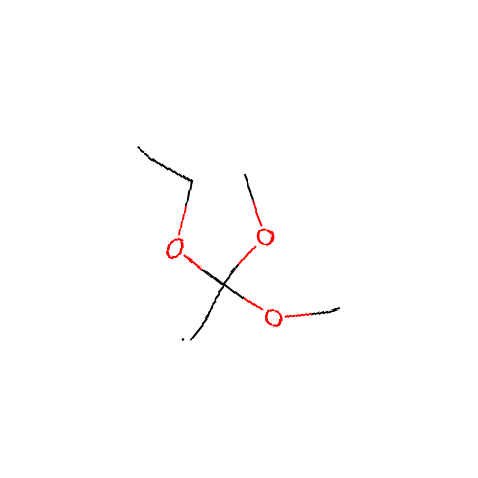 [CH2]C(OC)(OC)OCC